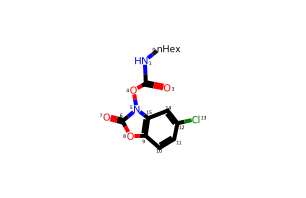 CCCCCCNC(=O)On1c(=O)oc2ccc(Cl)cc21